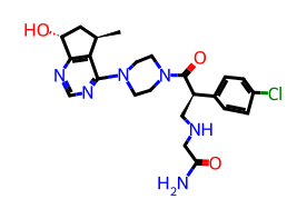 C[C@@H]1C[C@@H](O)c2ncnc(N3CCN(C(=O)[C@H](CNCC(N)=O)c4ccc(Cl)cc4)CC3)c21